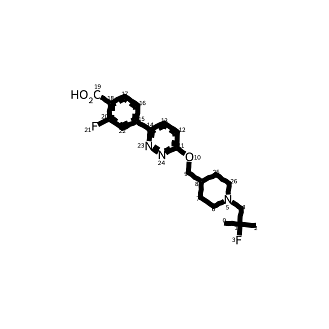 CC(C)(F)CN1CCC(COc2ccc(-c3ccc(C(=O)O)c(F)c3)nn2)CC1